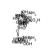 CC[C@H](NC(=O)[C@@](C)(NC(=O)[C@H](Cc1ccc(O)cc1)NC(=O)[C@H](CCC(=O)O)NC(=O)[C@H](CCCCN)NC(=O)[C@H](Cc1c[nH]c2ncccc12)NC(=O)C[C@@H](C)O)C(C)C)C(=O)NCCSCc1cccc(CSCCC(=O)N[C@H](C(=O)N[C@@H](Cc2ccc(O)cc2)C(=O)N[C@@H](CCCCN)C(N)=O)C(C)(C)C)c1